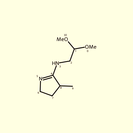 COC(CNC1=NCCC1C)OC